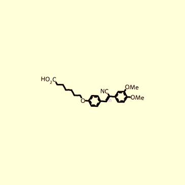 COc1ccc(/C(C#N)=C/c2ccc(OCCCCCCC(=O)O)cc2)cc1OC